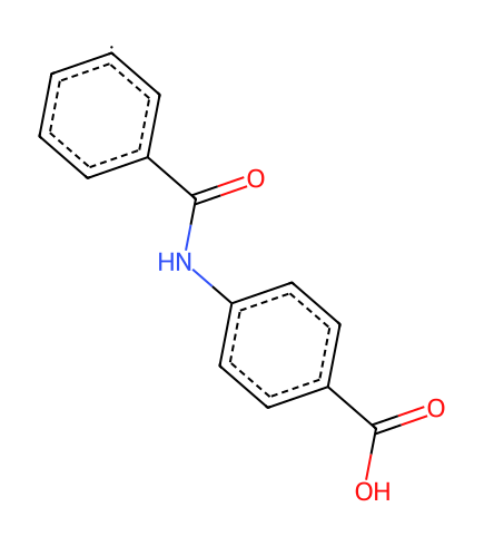 O=C(O)c1ccc(NC(=O)c2c[c]ccc2)cc1